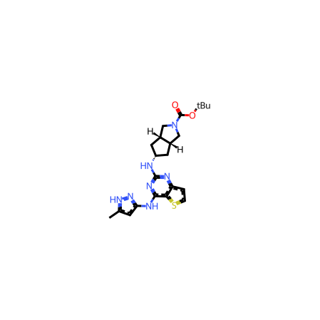 Cc1cc(Nc2nc(N[C@@H]3C[C@@H]4CN(C(=O)OC(C)(C)C)C[C@@H]4C3)nc3ccsc23)n[nH]1